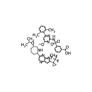 Cc1cccc(C)c1-c1cc(OC[C@@H]2NC(c3cnc4cc(C5(C(F)(F)F)CC5)n(C)c4n3)CCC[C@H]2OC(C)C)nc(NS(=O)(=O)c2cccc(C(=O)O)c2)n1